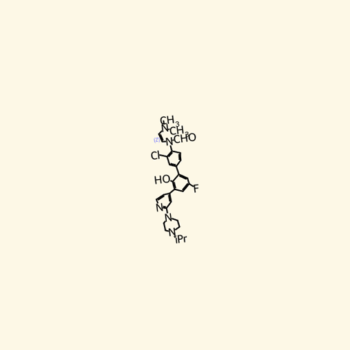 CC(C)N1CCN(c2cc(-c3cc(F)cc(-c4ccc(N(C=O)/C=C\N(C)C)c(Cl)c4)c3O)ccn2)CC1